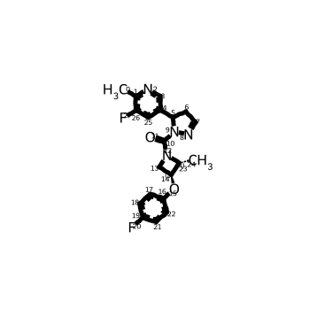 Cc1ncc(C2CC=NN2C(=O)N2C[C@H](Oc3ccc(F)cc3)[C@H]2C)cc1F